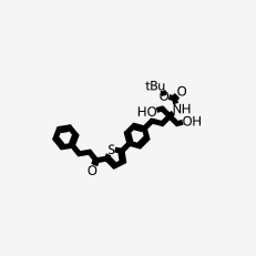 CC(C)(C)OC(=O)NC(CO)(CO)CCc1ccc(-c2ccc(C(=O)CCc3ccccc3)s2)cc1